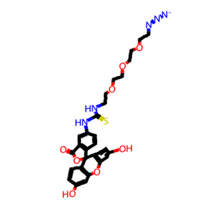 [N-]=[N+]=NCCOCCOCCOCCNC(=S)Nc1ccc2c(c1)C(=O)OC21c2ccc(O)cc2Oc2cc(O)ccc21